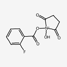 O=C(O[N+]1(O)C(=O)CCC1=O)c1ccccc1F